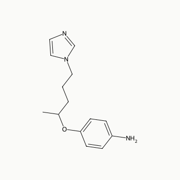 CC(CCCn1ccnc1)Oc1ccc(N)cc1